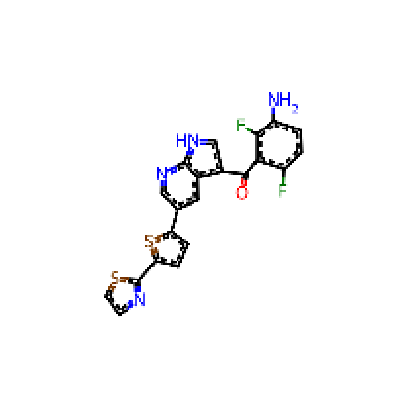 Nc1ccc(F)c(C(=O)c2c[nH]c3ncc(-c4ccc(-c5nccs5)s4)cc23)c1F